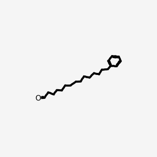 O=CCCCCCCCCCCCCCCc1ccccc1